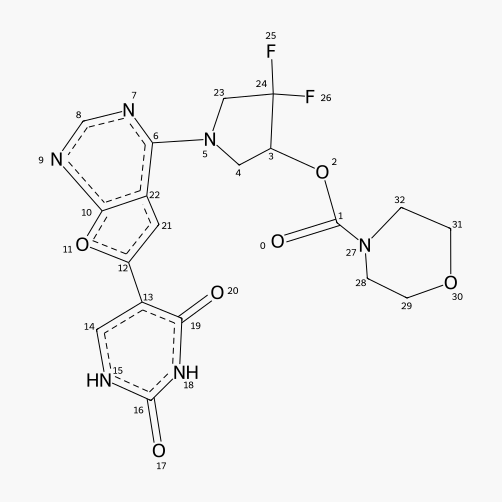 O=C(OC1CN(c2ncnc3oc(-c4c[nH]c(=O)[nH]c4=O)cc23)CC1(F)F)N1CCOCC1